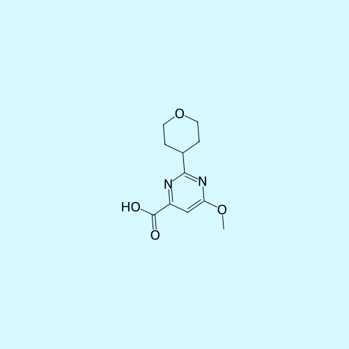 COc1cc(C(=O)O)nc(C2CCOCC2)n1